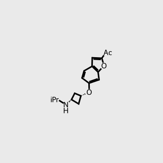 CC(=O)c1cc2ccc(O[C@H]3C[C@@H](NC(C)C)C3)cc2o1